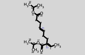 C/C=C(\CC/C=C/CCC(=O)OC(C)C)C(=O)OC(C)C